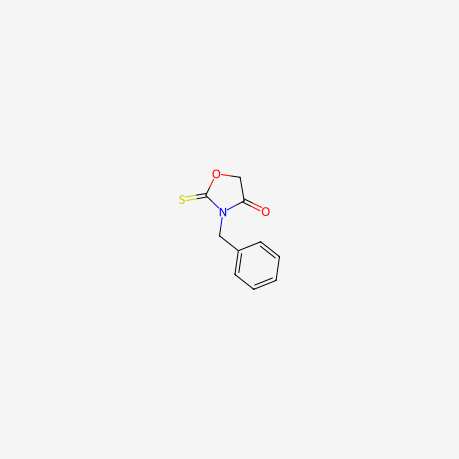 O=C1COC(=S)N1Cc1ccccc1